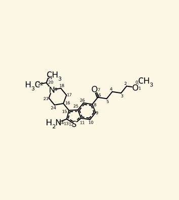 COCCCCC(=O)c1ccc2sc(N)c(C3CCN(C(C)C)CC3)c2c1